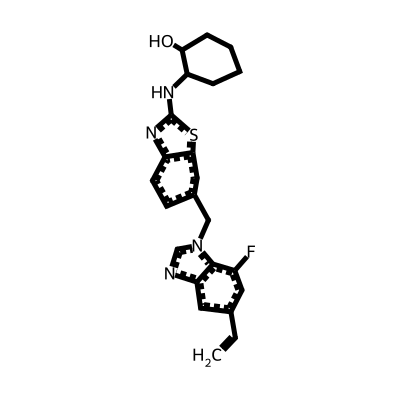 C=Cc1cc(F)c2c(c1)ncn2Cc1ccc2nc(NC3CCCCC3O)sc2c1